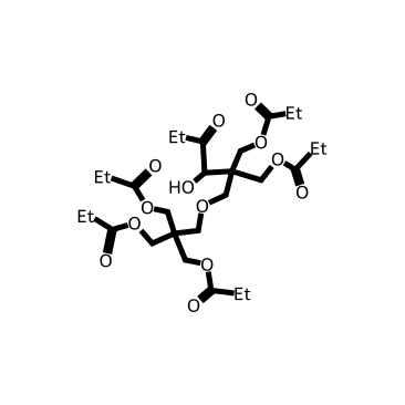 CCC(=O)OCC(COCC(COC(=O)CC)(COC(=O)CC)C(O)C(=O)CC)(COC(=O)CC)COC(=O)CC